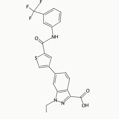 CCn1nc(C(=O)O)c2ccc(-c3csc(C(=O)Nc4cccc(C(F)(F)F)c4)c3)cc21